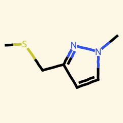 CSCc1ccn(C)n1